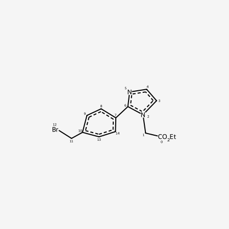 CCOC(=O)Cn1ccnc1-c1ccc(CBr)cc1